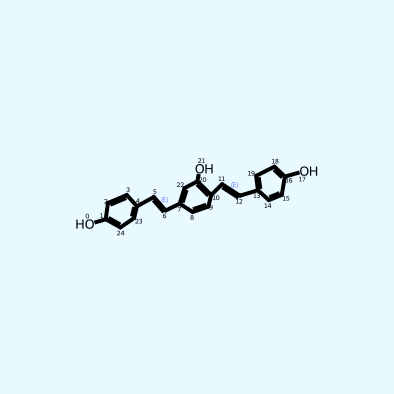 Oc1ccc(/C=C/c2ccc(/C=C/c3ccc(O)cc3)c(O)c2)cc1